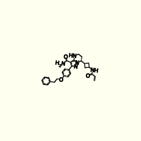 C=CC(=O)NC1CC(C2CCNc3c(C(N)=O)c(-c4ccc(OCCc5ccccc5)cc4)nn32)C1